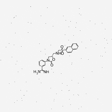 N=C(N)c1cccc(N2CC(CNCS(=O)(=O)c3ccc4ccccc4c3)OC2=O)c1